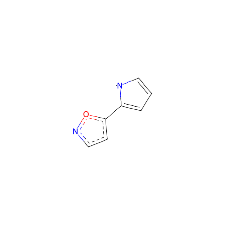 C1=C[N]C(c2ccno2)=C1